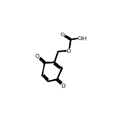 O=C1C=CC(=O)C(COC(=O)O)=C1